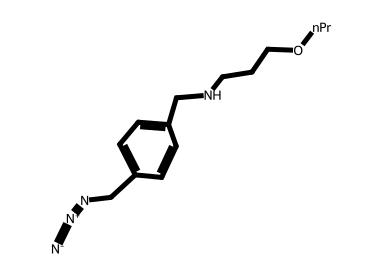 CCCOCCCNCc1ccc(CN=[N+]=[N-])cc1